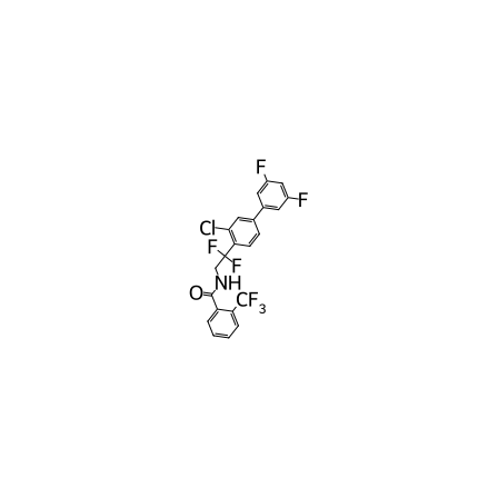 O=C(NCC(F)(F)c1ccc(-c2cc(F)cc(F)c2)cc1Cl)c1ccccc1C(F)(F)F